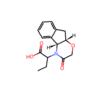 CCC(C(=O)O)N1C(=O)CO[C@H]2Cc3ccccc3[C@H]21